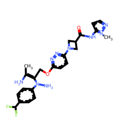 C/C(N)=C(\COc1ccc(N2CC(C(=O)Nc3ccnn3C)C2)nn1)N(N)c1ccc(C(F)F)cc1